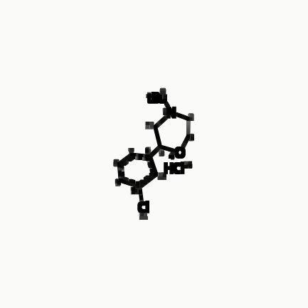 CC(C)(C)N1CCOC(c2cccc(Cl)c2)C1.Cl